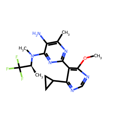 COc1ncnc(C2CC2)c1-c1nc(C)c(N)c(N(C)[C@@H](C)C(F)(F)F)n1